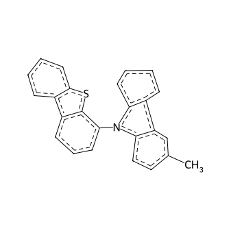 Cc1ccc2c(c1)c1ccccc1n2-c1cccc2c1sc1ccccc12